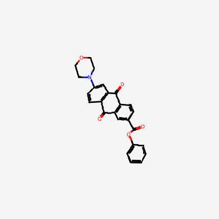 O=C(Oc1ccccc1)c1ccc2c(c1)C(=O)c1ccc(N3CCOCC3)cc1C2=O